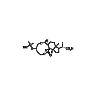 CC1CCC(O[Si](C)(C)C(C)(C)C)CCCC(=O)[C@@H]2[C@@H]1CCC1(C)C([C@H](C)C(=O)O)CC[C@@H]21